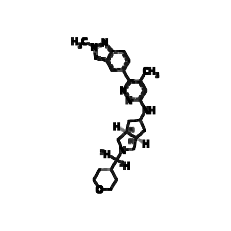 [2H]C([2H])(C1CCOCC1)N1C[C@H]2CC(Nc3cc(C)c(-c4ccc5nn(C)cc5c4)nn3)C[C@H]2C1